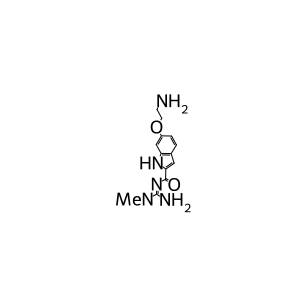 CNC(N)=NC(=O)c1cc2ccc(OCCN)cc2[nH]1